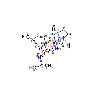 CC(C)=NOc1cc(C(F)(F)F)ccc1O[C@H]1C[C@H]2CC[C@@H](C1)N2c1ccc(C(F)(F)F)cn1